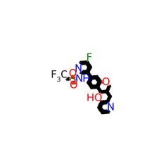 O=S(=O)(CC(F)(F)F)Nc1ncc(F)cc1-c1ccc2c(c1)OCC(Cc1ccccn1)C2O